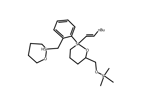 CCCCC=C[Si]1(c2ccccc2C[SiH]2CCCCO2)CCCC(CO[Si](C)(C)C)O1